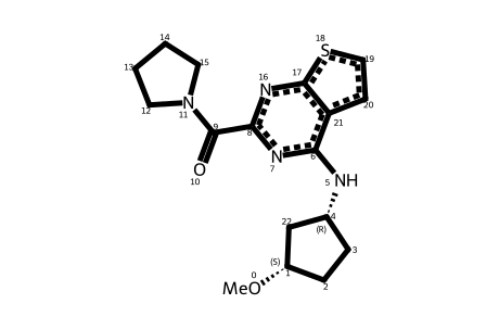 CO[C@H]1CC[C@@H](Nc2nc(C(=O)N3CCCC3)nc3sccc23)C1